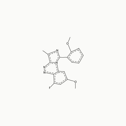 COc1cc(F)c2nnc3c(C)nc(-c4ccccc4OC)n3c2c1